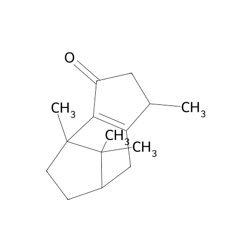 CC1CC(=O)C2=C1CC1CCC2(C)C1(C)C